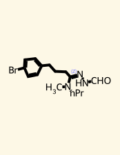 CCCN(C)/C(CCCc1ccc(Br)cc1)=N\NC=O